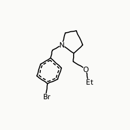 CCOCC1CCCN1Cc1ccc(Br)cc1